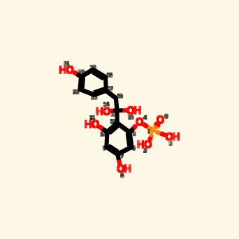 O=P(O)(O)Oc1cc(O)cc(O)c1C(O)(O)Cc1ccc(O)cc1